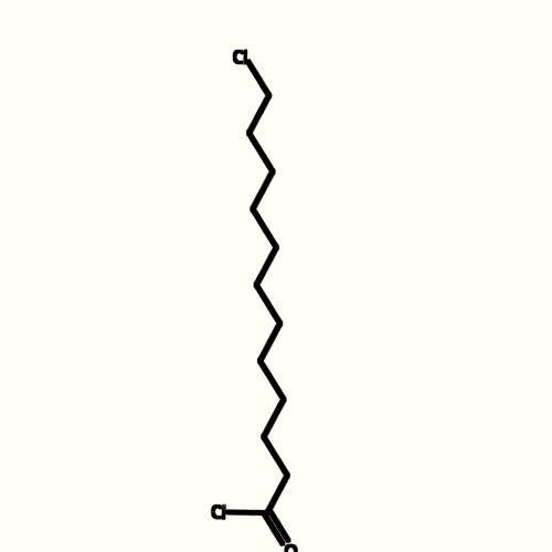 O=C(Cl)CCCCCCCCCCCCl